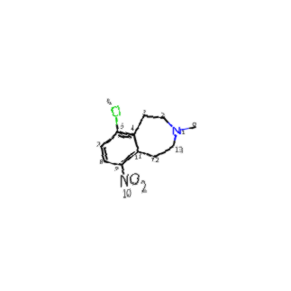 CN1CCc2c(Cl)ccc([N+](=O)[O-])c2CC1